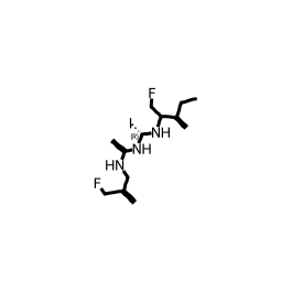 C=C(CF)CNC(=C)N[C@H](I)NC(CF)C(=C)CC